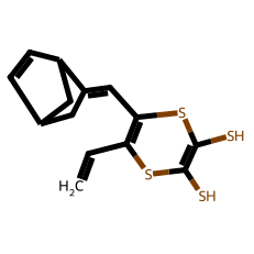 C=CC1=C(/C=C2\CC3C=CC2C3)SC(S)=C(S)S1